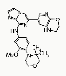 COc1cc(Nc2nc(-c3cnc4c(c3)NCCO4)cn3ccnc23)ccc1N1CCOCC1(C)C